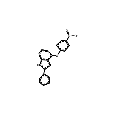 O=[N+]([O-])c1ccc(Oc2ncnc3[nH]c(-c4ccccc4)cc23)cc1